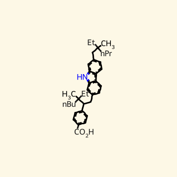 CCCCC(C)(CC)C(Cc1ccc2c(c1)[nH]c1cc(CC(C)(CC)CCC)ccc12)c1ccc(C(=O)O)cc1